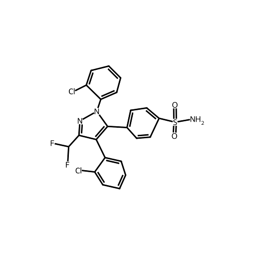 NS(=O)(=O)c1ccc(-c2c(-c3ccccc3Cl)c(C(F)F)nn2-c2ccccc2Cl)cc1